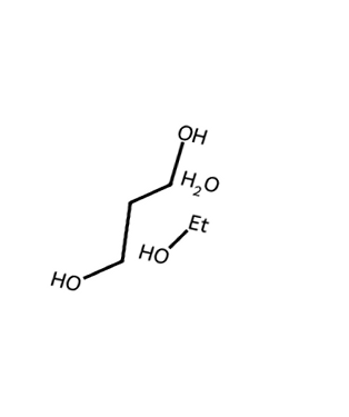 CCO.O.OCCCO